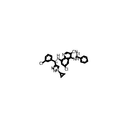 CC[C@@H](Nc1c(C#N)cnc2c(N[C@@H](c3cccc(Cl)c3)c3cn(C4CC4)nn3)cc(Cl)cc12)c1ccccc1